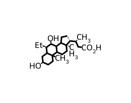 CC[C@@H]1C2C[C@H](O)CCC2(C)C2CC[C@@]3(C)C(CC[C@@H]3[C@H](C)CC(=O)O)C2[C@@H]1O